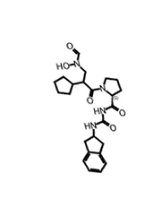 O=CN(O)CC(C(=O)N1CCC[C@H]1C(=O)NC(=O)NC1Cc2ccccc2C1)C1CCCC1